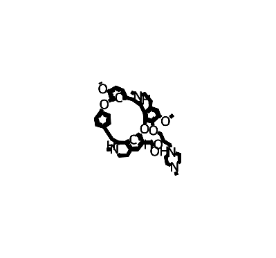 COc1ccc2cc1Oc1ccc(cc1)C[C@H]1c3cc(c(CO)cc3CCN1C)Oc1c(OCC(O)CN3CCN(C)CC3)c(OC)cc3c1[C@H](C2)N(C)CC3